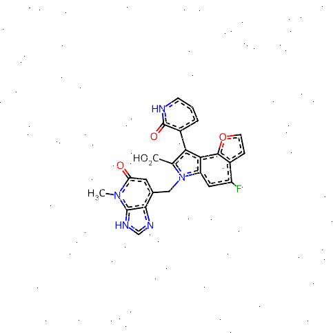 Cn1c(=O)cc(Cn2c(C(=O)O)c(-c3ccc[nH]c3=O)c3c4occc4c(F)cc32)c2nc[nH]c21